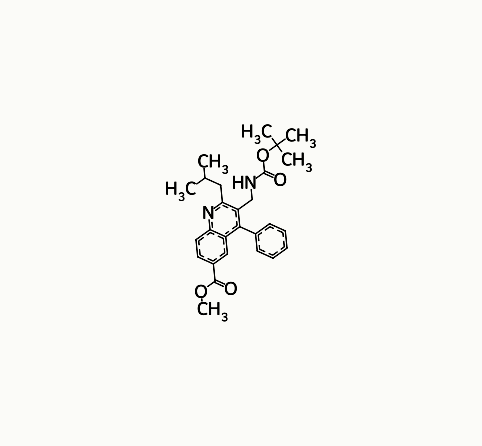 COC(=O)c1ccc2nc(CC(C)C)c(CNC(=O)OC(C)(C)C)c(-c3ccccc3)c2c1